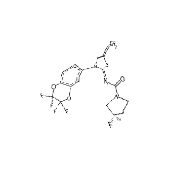 C=C1CN(c2ccc3c(c2)OC(F)(F)C(F)(F)O3)C(=NC(=O)N2CC[C@H](F)C2)S1